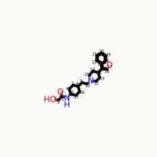 O=C(CO)NC1CCC(CCN2CCC(c3coc4ccccc34)CC2)CC1